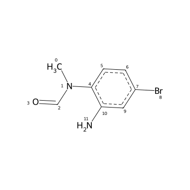 CN(C=O)c1ccc(Br)cc1N